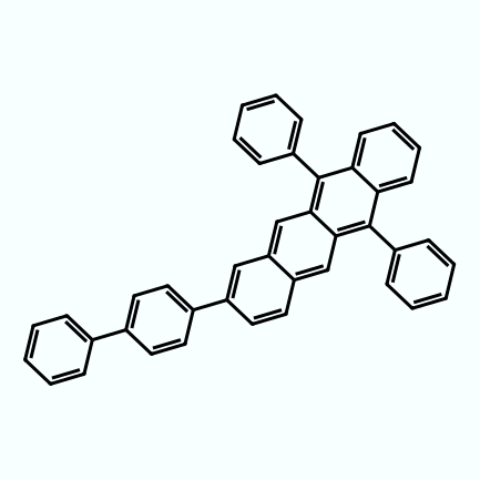 c1ccc(-c2ccc(-c3ccc4cc5c(-c6ccccc6)c6ccccc6c(-c6ccccc6)c5cc4c3)cc2)cc1